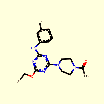 O=C(N1CCN(c2nc(Nc3cccc(C(F)(F)F)c3)nc(OCC(F)(F)F)n2)CC1)C(F)(F)F